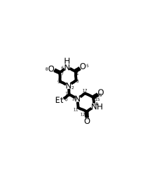 CCC(N1CC(=O)NC(=O)C1)N1CC(=O)NC(=O)C1